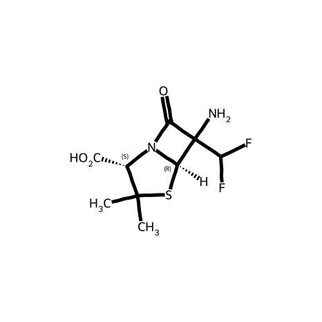 CC1(C)S[C@H]2N(C(=O)C2(N)C(F)F)[C@H]1C(=O)O